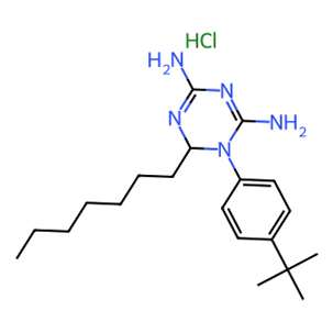 CCCCCCCC1N=C(N)N=C(N)N1c1ccc(C(C)(C)C)cc1.Cl